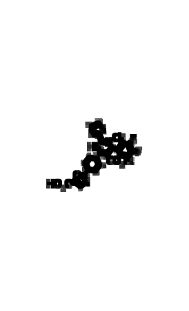 CCOC(=O)C1=C([C@H]2CC[C@H](c3ncc(C(=O)O)o3)CC2)NC(c2nccs2)=NC1c1ccc(F)c(F)c1Cl